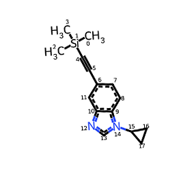 C[Si](C)(C)C#Cc1ccc2c(c1)ncn2C1CC1